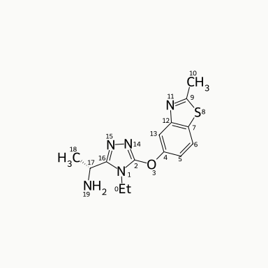 CCn1c(Oc2ccc3sc(C)nc3c2)nnc1[C@@H](C)N